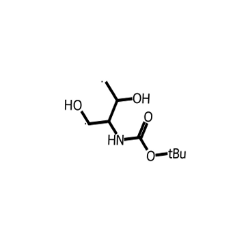 [CH2]C(O)C([CH]O)NC(=O)OC(C)(C)C